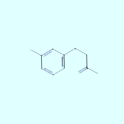 CC(=O)[C@@H](C)Cc1cccc(Cl)c1